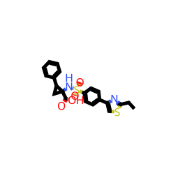 CCc1nc(-c2ccc(S(=O)(=O)NC3(C(=O)O)CC3c3ccccc3)cc2)cs1